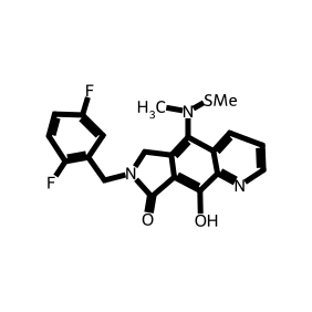 CSN(C)c1c2c(c(O)c3ncccc13)C(=O)N(Cc1cc(F)ccc1F)C2